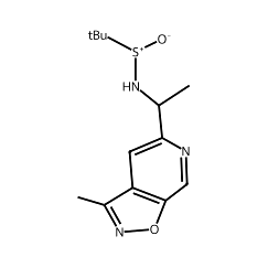 Cc1noc2cnc(C(C)N[S+]([O-])C(C)(C)C)cc12